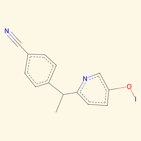 CC(c1ccc(C#N)cc1)c1ccc(OI)cn1